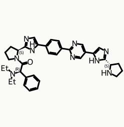 CCN(CC)[C@@H](C(=O)N1CCC[C@H]1c1ncc(-c2ccc(-c3ncc(-c4cnc([C@@H]5CCCN5)[nH]4)cn3)cc2)[nH]1)c1ccccc1